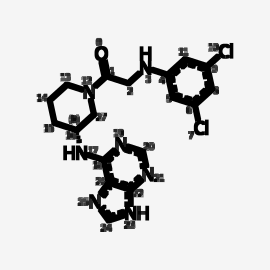 O=C(CNc1cc(Cl)cc(Cl)c1)N1CCC[C@@H](Nc2ncnc3[nH]cnc23)C1